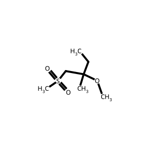 CCC(C)(CS(C)(=O)=O)OC